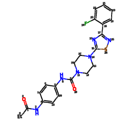 CCC(=O)Nc1ccc(NC(=O)N2CCN(c3nc(-c4ccccc4F)ns3)CC2)cc1